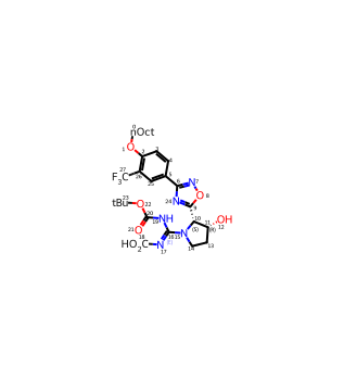 CCCCCCCCOc1ccc(-c2noc([C@@H]3[C@H](O)CCN3/C(=N/C(=O)O)NC(=O)OC(C)(C)C)n2)cc1C(F)(F)F